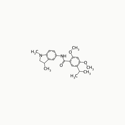 COc1cc(OC)c(C(C)C)cc1C(=O)Nc1ccc2c(c1)C(C)CN2C